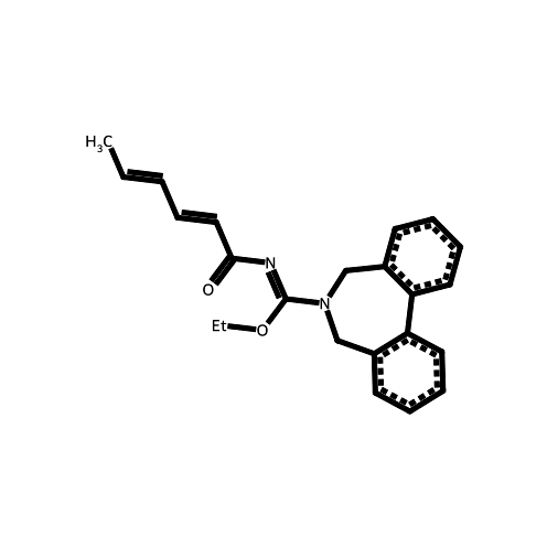 C/C=C/C=C/C(=O)/N=C(\OCC)N1Cc2ccccc2-c2ccccc2C1